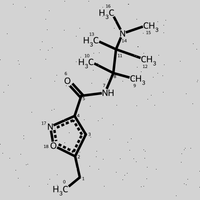 CCc1cc(C(=O)NC(C)(C)C(C)(C)N(C)C)no1